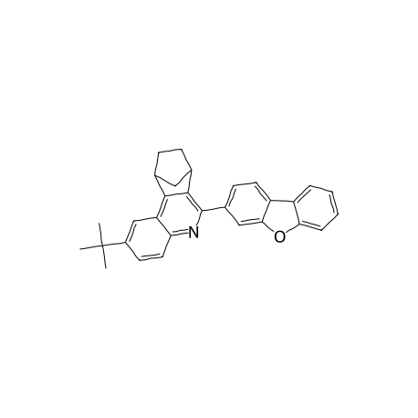 CC(C)(C)c1ccc2nc(-c3ccc4c(c3)oc3ccccc34)c3c(c2c1)C1CCC3C1